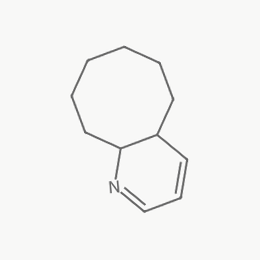 C1=CC2CCCCCCC2N=C1